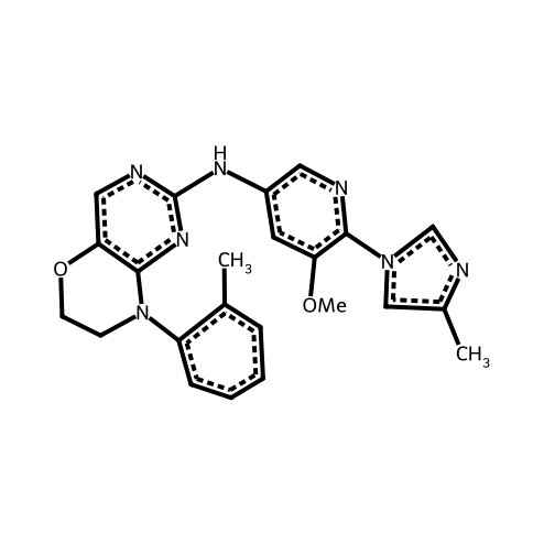 COc1cc(Nc2ncc3c(n2)N(c2ccccc2C)CCO3)cnc1-n1cnc(C)c1